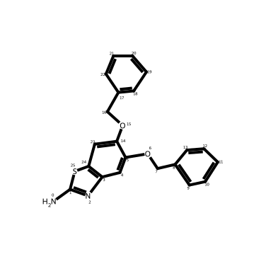 Nc1nc2cc(OCc3ccccc3)c(OCc3ccccc3)cc2s1